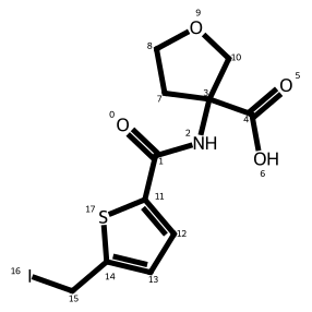 O=C(NC1(C(=O)O)CCOC1)c1ccc(CI)s1